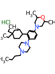 CCCCN1CCN(c2ccc(N3CC(C)OC(C)C3)cc2C2CCC(CC)(CC)CC2)CC1.Cl